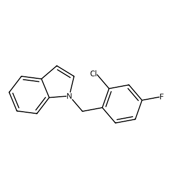 Fc1ccc(Cn2ccc3ccccc32)c(Cl)c1